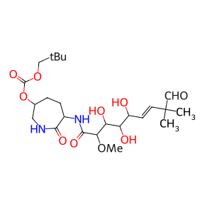 COC(C(=O)NC1CCC(OC(=O)OCC(C)(C)C)CNC1=O)C(O)C(O)C(O)C=CC(C)(C)C=O